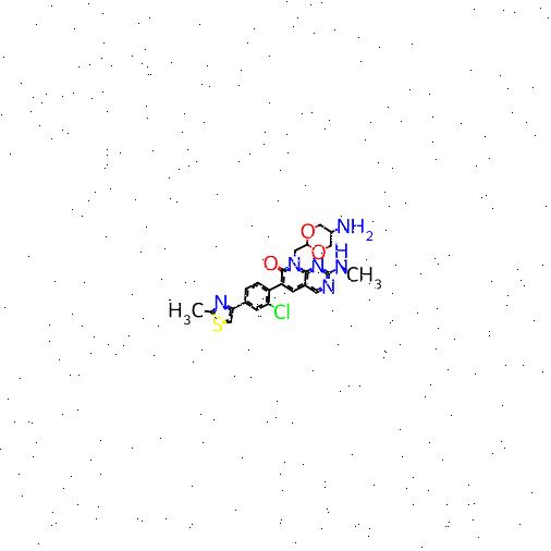 CNc1ncc2cc(-c3ccc(-c4csc(C)n4)cc3Cl)c(=O)n(CC3OCC(N)CO3)c2n1